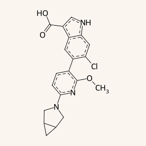 COc1nc(N2CC3CC3C2)ccc1-c1cc2c(C(=O)O)c[nH]c2cc1Cl